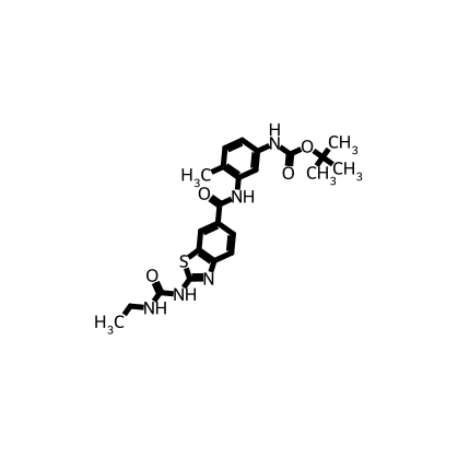 CCNC(=O)Nc1nc2ccc(C(=O)Nc3cc(NC(=O)OC(C)(C)C)ccc3C)cc2s1